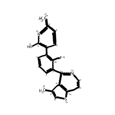 Cc1ccc(-c2cccc(-c3nccc4scc(C)c34)c2F)c(O)n1